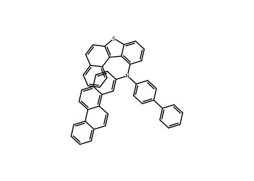 c1ccc(-c2ccc(N(c3ccc4ccc5c6ccccc6ccc5c4c3)c3cccc4sc5ccc6ccccc6c5c34)cc2)cc1